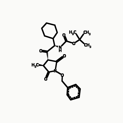 C[C@@H]1C(=O)N(OCc2ccccc2)C(=O)[C@H]1C(=O)[C@@H](NC(=O)OC(C)(C)C)C1CCCCC1